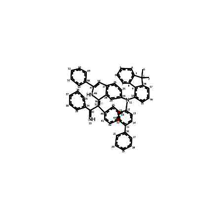 CC1(C)c2ccccc2-c2c(N(c3ccc(-c4ccccc4)cc3)c3ccc4c(c3)/C(=C(/C(=N)c3ccccc3)c3ccccc3)NC(c3ccccc3)=C4)cccc21